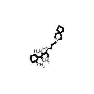 C=C(/C(N)=C(\C=O)NCCCN1CCC2(CCCC2)CC1)c1ccccc1C